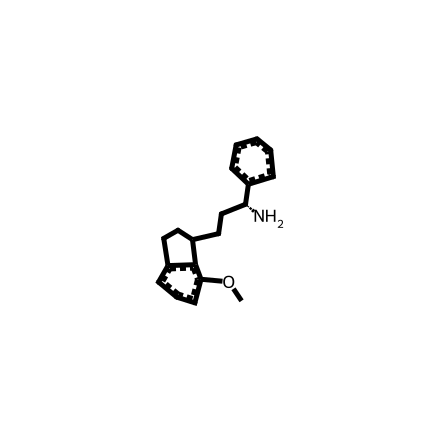 COc1cccc2c1C(CC[C@@H](N)c1ccccc1)CC2